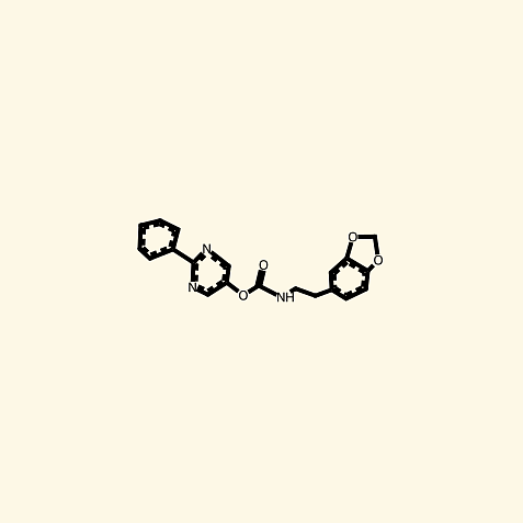 O=C(NCCc1ccc2c(c1)OCO2)Oc1cnc(-c2ccccc2)nc1